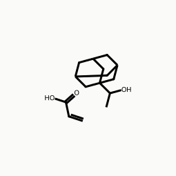 C=CC(=O)O.CC(O)C12CC3CC(CC(C3)C1)C2